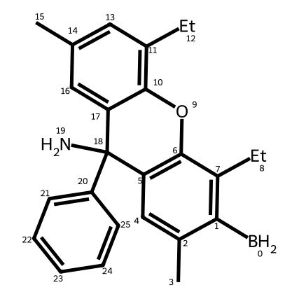 Bc1c(C)cc2c(c1CC)Oc1c(CC)cc(C)cc1C2(N)c1ccccc1